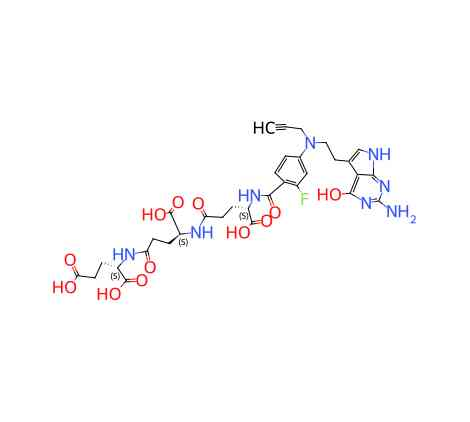 C#CCN(CCc1c[nH]c2nc(N)nc(O)c12)c1ccc(C(=O)N[C@@H](CCC(=O)N[C@@H](CCC(=O)N[C@@H](CCC(=O)O)C(=O)O)C(=O)O)C(=O)O)c(F)c1